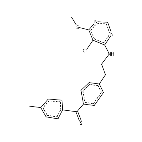 CSc1ncnc(NCCc2ccc(C(=S)c3ccc(C)cc3)cc2)c1Cl